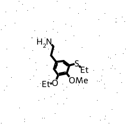 CCOc1cc(CCN)cc(SCC)c1OC